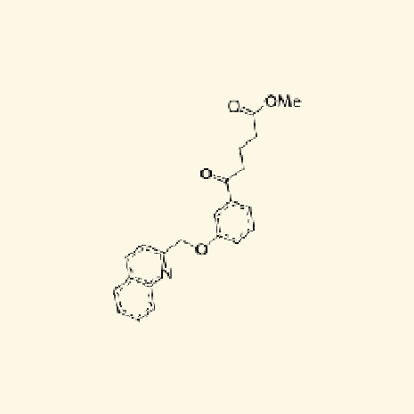 COC(=O)CCCC(=O)c1cccc(OCc2ccc3ccccc3n2)c1